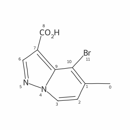 Cc1ccn2ncc(C(=O)O)c2c1Br